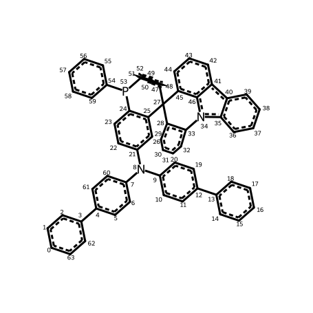 c1ccc(-c2ccc(N(c3ccc(-c4ccccc4)cc3)c3ccc4c(c3)C3(c5ccccc5-n5c6ccccc6c6cccc3c65)c3ccccc3P4c3ccccc3)cc2)cc1